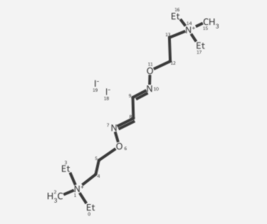 CC[N+](C)(CC)CCO/N=C/C=N/OCC[N+](C)(CC)CC.[I-].[I-]